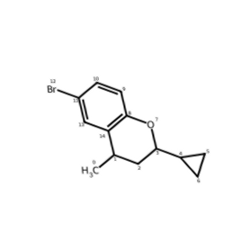 CC1CC(C2CC2)Oc2ccc(Br)cc21